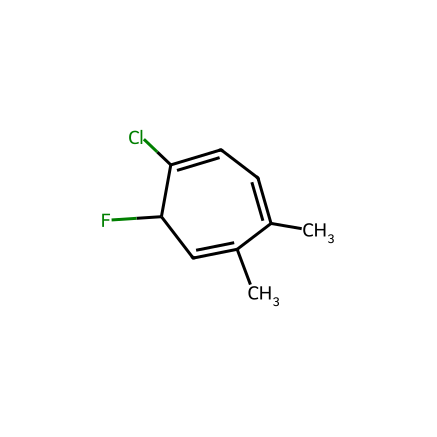 CC1=CC=C(Cl)C(F)C=C1C